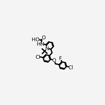 CC(C)(C)N1C(NC(=O)O)=CC=CC1Cc1cc(Cl)ccc1OCc1ccc(Cl)cc1F